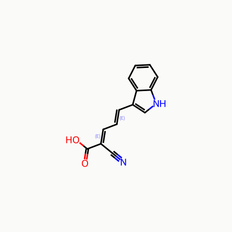 N#C/C(=C\C=C\c1c[nH]c2ccccc12)C(=O)O